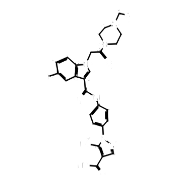 CCCC(=O)c1cnn(-c2ccc(NC(=O)c3cn(CC(=O)N4CCN(CC(C)=O)CC4)c4ccc(Cl)cc34)cc2)c1C